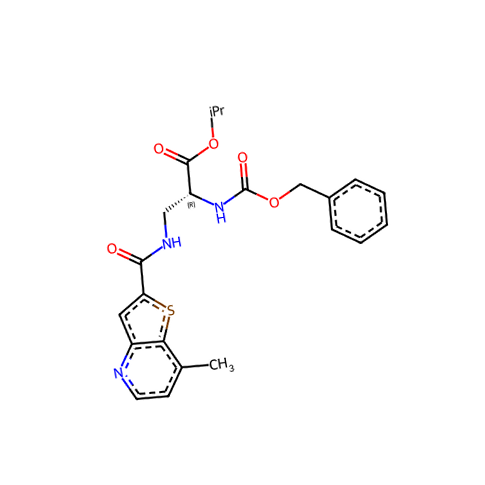 Cc1ccnc2cc(C(=O)NC[C@@H](NC(=O)OCc3ccccc3)C(=O)OC(C)C)sc12